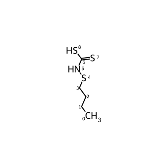 CCCCSNC(=S)S